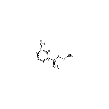 C=C(COC(C)(C)C)c1cccc(O)c1